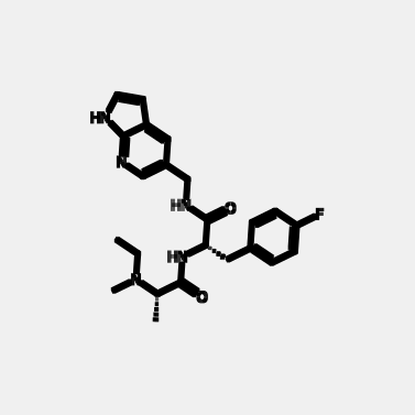 CCN(C)[C@@H](C)C(=O)N[C@@H](Cc1ccc(F)cc1)C(=O)NCc1cnc2[nH]ccc2c1